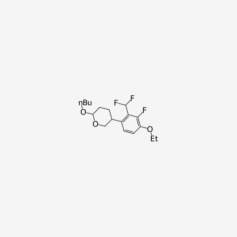 CCCCOC1CCC(c2ccc(OCC)c(F)c2C(F)F)CO1